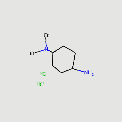 CCN(CC)C1CCC(N)CC1.Cl.Cl